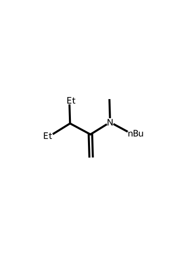 C=C(C(CC)CC)N(C)CCCC